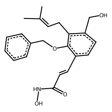 CC(C)=CCc1c(CO)ccc(/C=C/C(=O)NO)c1OCc1ccccc1